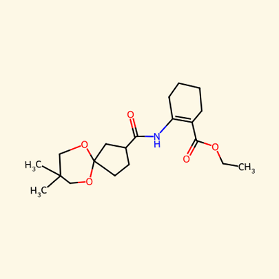 CCOC(=O)C1=C(NC(=O)C2CCC3(C2)OCC(C)(C)CO3)CCCC1